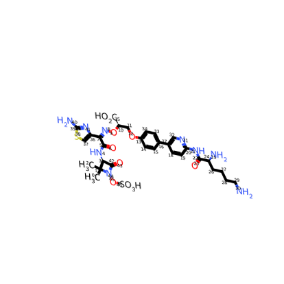 CC1(C)[C@H](NC(=O)/C(=N\O[C@@H](COc2ccc(-c3ccc(NC(=O)[C@@H](N)CCCCN)nc3)cc2)C(=O)O)c2csc(N)n2)C(=O)N1OS(=O)(=O)O